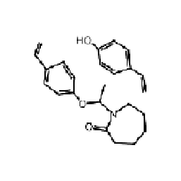 C=Cc1ccc(O)cc1.C=Cc1ccc(OC(C)N2CCCCCC2=O)cc1